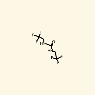 O=C(NCC(F)(F)F)NCC(F)(F)F